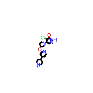 CN1CCC(c2ccnc(O[C@@H]3CCN(c4cn[nH]c(=O)c4Cl)C3)c2)CC1